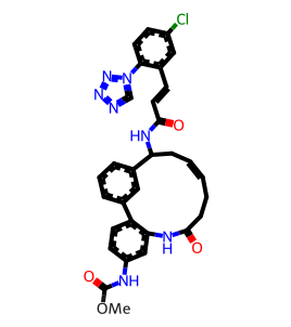 COC(=O)Nc1ccc2c(c1)NC(=O)CCC=CCC(NC(=O)C=Cc1cc(Cl)ccc1-n1cnnn1)c1cccc-2c1